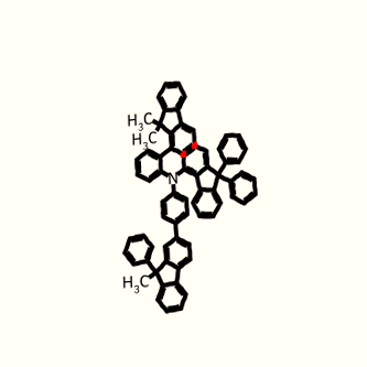 CC1(C)c2ccccc2-c2cccc(-c3ccccc3N(c3ccc(-c4ccc5c(c4)C(C)(c4ccccc4)c4ccccc4-5)cc3)c3cccc4c3-c3ccccc3C4(c3ccccc3)c3ccccc3)c21